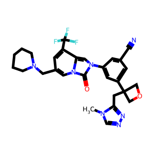 Cn1cnnc1CC1(c2cc(C#N)cc(-n3cc4c(C(F)(F)F)cc(CN5CCCCC5)cn4c3=O)c2)COC1